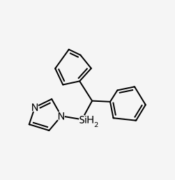 c1ccc(C([SiH2]n2ccnc2)c2ccccc2)cc1